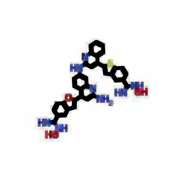 N=C(NO)c1ccc2oc(-c3cc(N)nc4cc(Nc5cc(-c6cc7cc(C(=N)NO)ccc7s6)c6ccccc6n5)ccc34)cc2c1